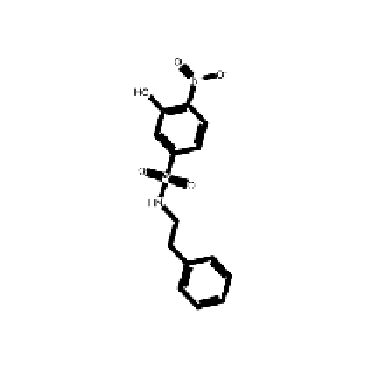 O=[N+]([O-])c1ccc(S(=O)(=O)NCCc2ccccc2)cc1O